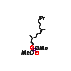 COP(=O)(OC)OC=CC(C)CCC=C(C)CCCC(C)C